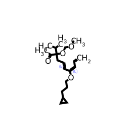 C=C/C=C(\C=C\CC(OCOC)(C(C)=O)C(C)C)OCCCC1CC1